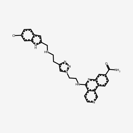 NC(=O)c1ccc2c(c1)nc(NCCn1cc(CCNCc3cc4ccc(Cl)cc4[nH]3)nn1)c1ccncc12